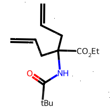 C=CCC(CC=C)(NC(=O)C(C)(C)C)C(=O)OCC